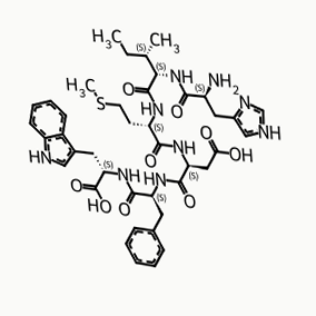 CC[C@H](C)[C@H](NC(=O)[C@@H](N)Cc1c[nH]cn1)C(=O)N[C@@H](CCSC)C(=O)N[C@@H](CC(=O)O)C(=O)N[C@@H](Cc1ccccc1)C(=O)N[C@@H](Cc1c[nH]c2ccccc12)C(=O)O